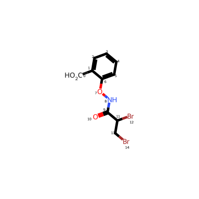 O=C(O)c1ccccc1ONC(=O)C(Br)CBr